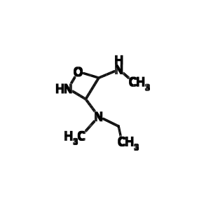 CCN(C)C1NOC1NC